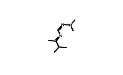 C/C(=N\C=N/N(C)C)C(C)C